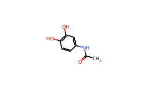 CC(=O)Nc1ccc(O)c(O)c1